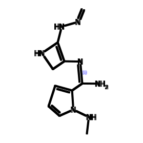 C=NNC1=C(/N=C(/N)c2cccn2NC)CN1